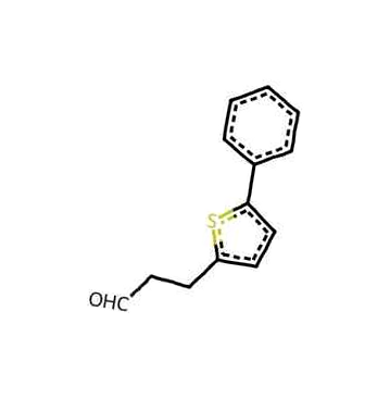 O=CCCc1ccc(-c2ccccc2)s1